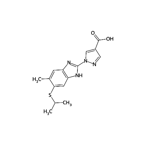 Cc1cc2nc(-n3cc(C(=O)O)cn3)[nH]c2cc1SC(C)C